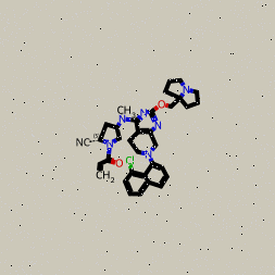 C=CC(=O)N1CC(N(C)c2nc(OCC34CCCN3CCC4)nc3c2CCN(c2cccc4cccc(Cl)c24)C3)C[C@H]1C#N